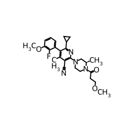 COCCC(=O)N1CCN(c2nc(C3CC3)c(-c3cccc(OC)c3F)c(C)c2C#N)C[C@H]1C